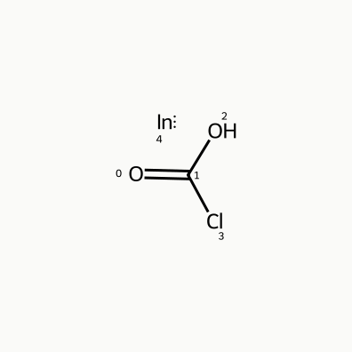 O=C(O)Cl.[In]